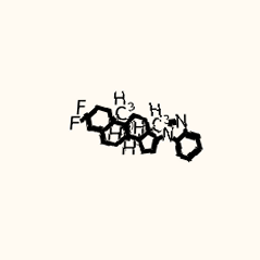 C[C@]12CCC(F)(F)C=C1CC[C@@H]1[C@@H]2CC[C@]2(C)C(n3cnc4ccccc43)=CC[C@@H]12